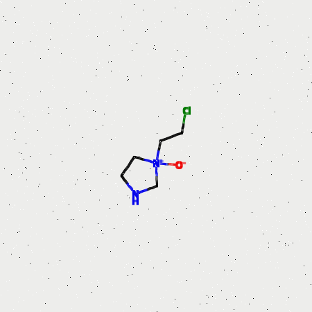 [O-][N+]1(CCCl)CCNC1